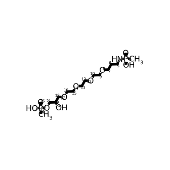 CP(=O)(O)NCCCOCCOCCOCCOCC(O)COP(C)(=O)O